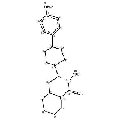 COc1ccc(C2CCN(CCC3CCCCN3C(=O)OC(C)(C)C)CC2)cc1